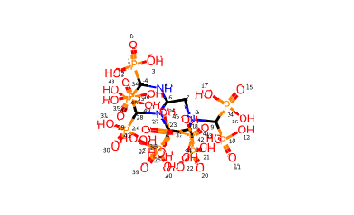 O=P(O)(O)C(NC(CN(C(P(=O)(O)O)P(=O)(O)O)C(P(=O)(O)O)P(=O)(O)O)N(C(P(=O)(O)O)P(=O)(O)O)C(P(=O)(O)O)P(=O)(O)O)P(=O)(O)O